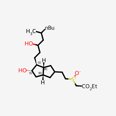 CCCCC(C)CC(O)CC[C@H]1[C@@H]2CC(CC[S+]([O-])CC(=O)OCC)C[C@@H]2C[C@@H]1O